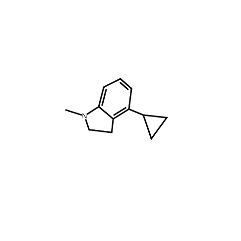 CN1CCc2c(C3CC3)cccc21